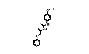 COc1ccc(NC(=S)NC(=O)COc2ccccc2)cc1